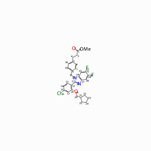 COC(=O)CCc1ccc(Cn2c(-c3ccc(Cl)cc3OCC3CCCC3)nc3cc(F)c(F)cc32)cc1